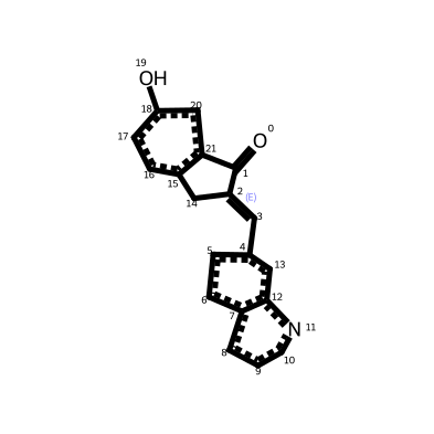 O=C1/C(=C/c2ccc3cccnc3c2)Cc2ccc(O)cc21